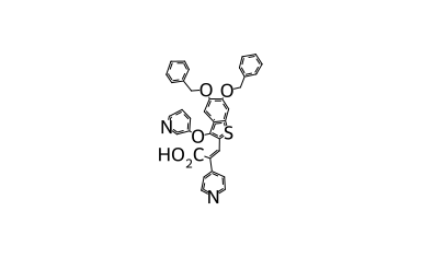 O=C(O)C(=Cc1sc2cc(OCc3ccccc3)c(OCc3ccccc3)cc2c1Oc1cccnc1)c1ccncc1